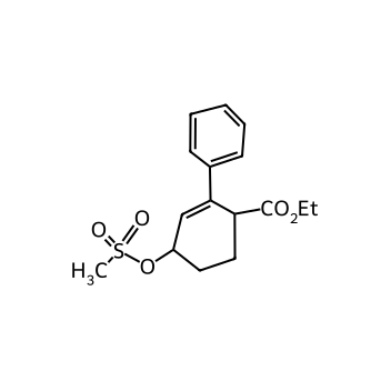 CCOC(=O)C1CCC(OS(C)(=O)=O)C=C1c1ccccc1